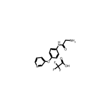 NCC(=O)Nc1ccc(Oc2cccnc2)cc1.O=C(O)C(F)(F)F